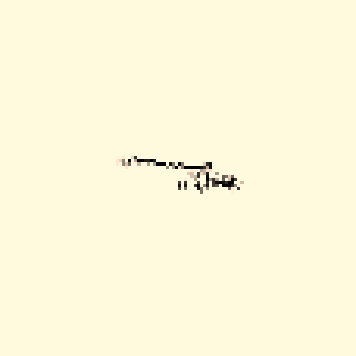 CCCCCCCCCCCCCCCC[N+](C)(C)CC[N+](C)(C)CCC[Si](O)(O)O.[Cl-].[Cl-]